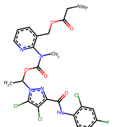 CNCC(=O)OCc1cccnc1N(C)C(=O)OC(C)n1nc(C(=O)Nc2ccc(F)cc2Cl)c(Cl)c1Cl